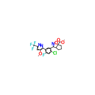 COC(=O)C12CCCC1C(c1cc(-c3nnc(C(F)(F)F)cc3OC)c(F)cc1Cl)=NO2